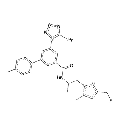 Cc1ccc(-c2cc(C(=O)NC(C)Cn3nc(CF)cc3C)cc(-n3nnnc3C(C)C)c2)cc1